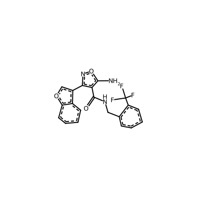 Nc1onc(-c2coc3ccccc23)c1C(=O)NCc1ccccc1C(F)(F)F